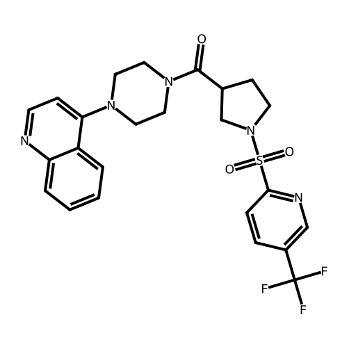 O=C(C1CCN(S(=O)(=O)c2ccc(C(F)(F)F)cn2)C1)N1CCN(c2ccnc3ccccc23)CC1